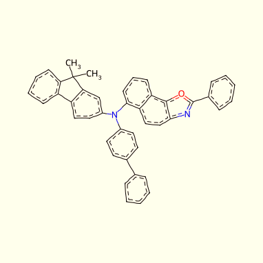 CC1(C)c2ccccc2-c2ccc(N(c3ccc(-c4ccccc4)cc3)c3cccc4c3ccc3nc(-c5ccccc5)oc34)cc21